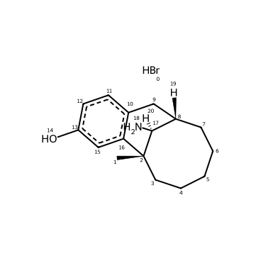 Br.C[C@@]12CCCCC[C@@H](Cc3ccc(O)cc31)[C@@H]2N